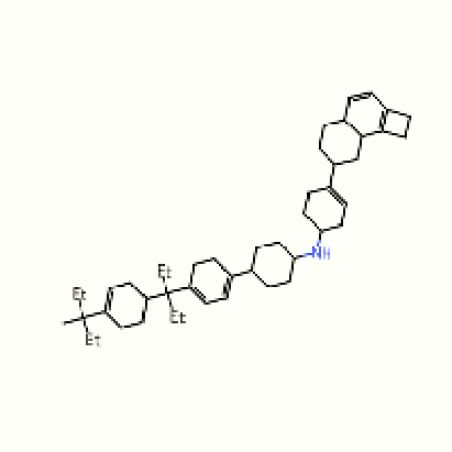 CCC(C)(CC)C1=CCC(C(CC)(CC)C2=CC=C(C3CCC(NC4CC=C(C5CCC6C=CC7=C(CC7)C6C5)CC4)CC3)CC2)CC1